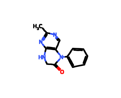 Cc1ncc2c(n1)NCC(=O)N2c1ccccc1